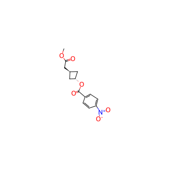 COC(=O)C[C@H]1C[C@H](OC(=O)c2ccc([N+](=O)[O-])cc2)C1